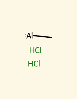 Cl.Cl.[CH3][Al]